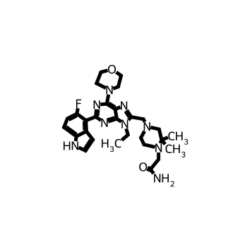 CCn1c(CN2CCN(CC(N)=O)C(C)(C)C2)nc2c(N3CCOCC3)nc(-c3c(F)ccc4[nH]ccc34)nc21